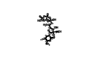 C#CC1(Cl)[C@@H](O)[C@@H]([C@@H](C)OP(=O)(O)OP(=O)(O)OP(=O)(O)O)O[C@H]1n1cc(F)c(N)nc1=O